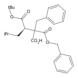 CC(C)C[C@@H](C(=O)OC(C)(C)C)C(Cc1ccccc1)(C(=O)O)C(=O)OCc1ccccc1